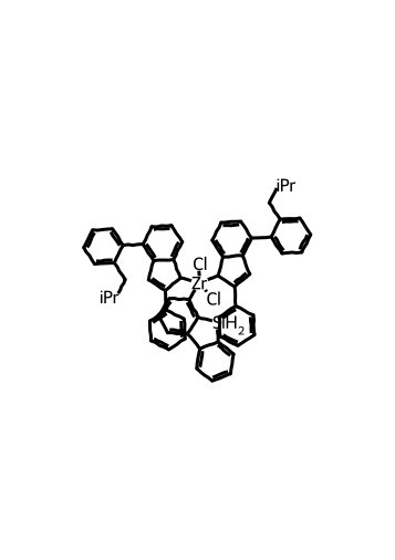 CC(C)Cc1ccccc1-c1cccc2c1C=C(c1ccccc1)[CH]2[Zr]([Cl])([Cl])([c]1cccc2c1[SiH2]c1ccccc1-2)[CH]1C(c2ccccc2)=Cc2c(-c3ccccc3CC(C)C)cccc21